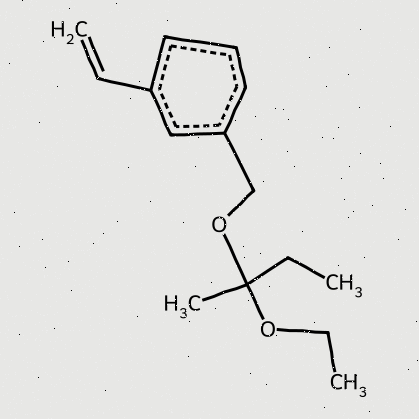 C=Cc1cccc(COC(C)(CC)OCC)c1